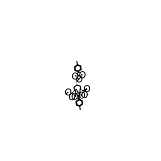 COC(=O)[C@H]1C[C@H](COS(=O)(=O)c2ccc(C)cc2)C[C@@H](C(=O)OC)N1S(=O)(=O)c1ccc(C)cc1